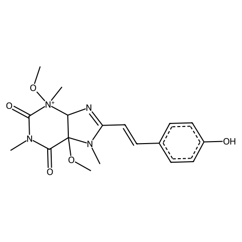 COC12C(=O)N(C)C(=O)[N+](C)(OC)C1N=C(C=Cc1ccc(O)cc1)N2C